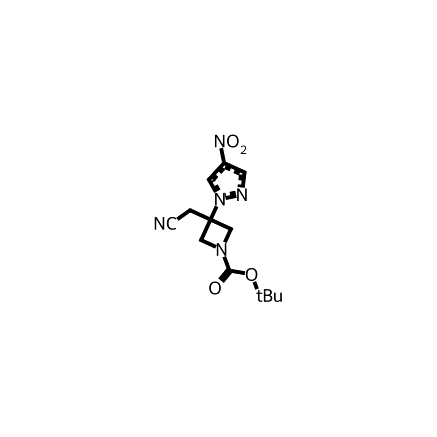 CC(C)(C)OC(=O)N1CC(CC#N)(n2cc([N+](=O)[O-])cn2)C1